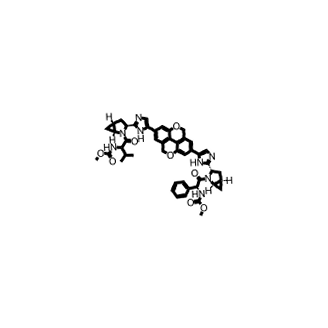 COC(=O)NC(C(=O)N1[C@@H]2C[C@@H]2C[C@H]1c1ncc(-c2cc3c4c(c2)OCc2cc(-c5cnc([C@@H]6C[C@H]7C[C@H]7N6C(=O)[C@H](NC(=O)OC)c6ccccc6)[nH]5)cc(c2-4)OC3)[nH]1)C(C)C